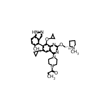 C=CC(=O)N1CCN(c2nc(OC[C@@H]3CCCN3C)nc3c(OC4CC4)c(-c4c(C)ccc5[nH]ncc45)c(C4CC4)cc23)CC1